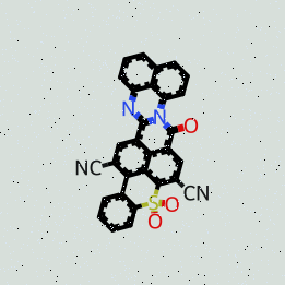 N#Cc1cc2c3c4c1-c1ccccc1S(=O)(=O)c4c(C#N)cc3c(=O)n1c3cccc4cccc(nc21)c43